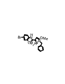 COc1cc(C(=O)Nc2ccc(Br)cc2C(=O)O)nn1Cc1ccccc1